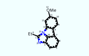 CCc1nc2cccc3c4ccc(OC)cc4n1c23